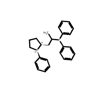 CC(C[C@H]1CCC[P@]1c1ccccc1)P(c1ccccc1)c1ccccc1